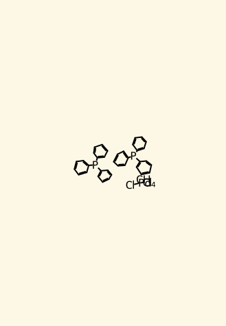 C.[Cl][Pd][Cl].c1ccc(P(c2ccccc2)c2ccccc2)cc1.c1ccc(P(c2ccccc2)c2ccccc2)cc1